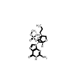 CCC[C@@]12CO[C@@H](C1OP(=O)(O)OC)[C@H](n1cnc3c(=O)[nH]c(N)nc31)O2